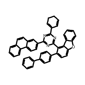 C1=CC(c2nc(-c3ccc4c(ccc5ccccc54)c3)nc(-c3c(-c4ccc(-c5ccccc5)cc4)ccc4oc5ccccc5c34)n2)=CCC1